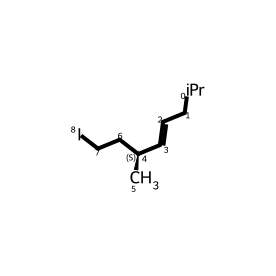 CC(C)CC=C[C@@H](C)CCI